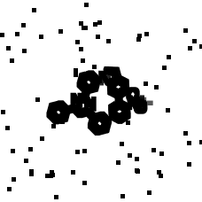 O=[N+]([O-])c1ccccc1-c1ccc2ccn(-c3cccc(-c4nc(-c5ccccc5)cc(-c5ccccc5)n4)c3)c2c1